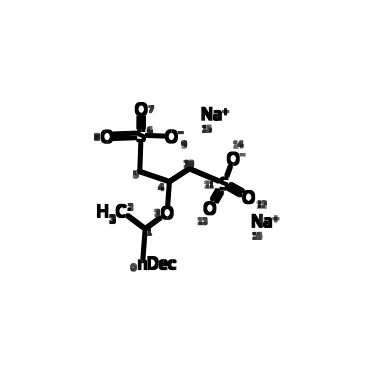 CCCCCCCCCCC(C)OC(CS(=O)(=O)[O-])CS(=O)(=O)[O-].[Na+].[Na+]